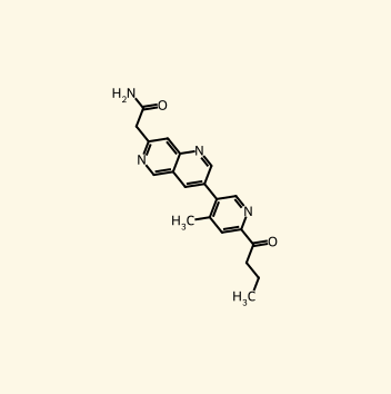 CCCC(=O)c1cc(C)c(-c2cnc3cc(CC(N)=O)ncc3c2)cn1